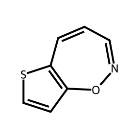 C1=Cc2sccc2ON=C1